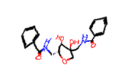 O=C(NC[C@H]1OC[C@@](O)(CNC(=O)c2ccccc2)[C@@H]1O)c1ccccc1